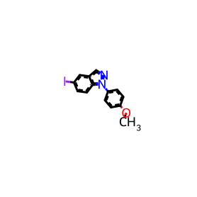 COc1ccc(-n2ncc3cc(I)ccc32)cc1